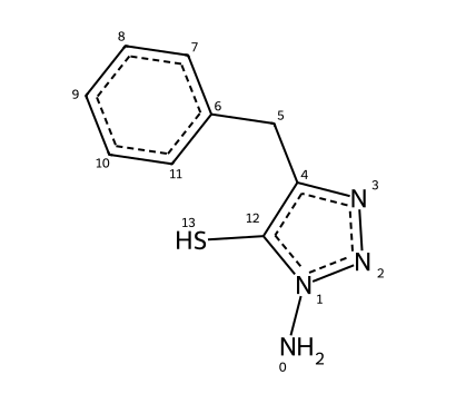 Nn1nnc(Cc2ccccc2)c1S